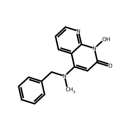 CN(Cc1ccccc1)c1cc(=O)n(O)c2ncccc12